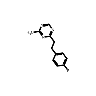 Cc1ncnc(CCc2ccc(F)cc2)n1